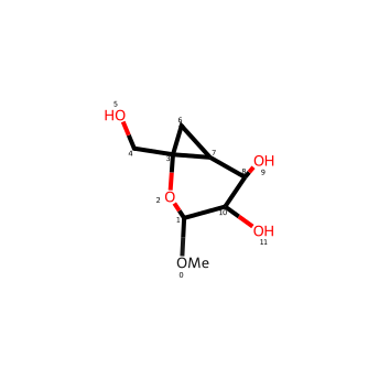 COC1OC2(CO)CC2C(O)C1O